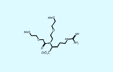 CCOC(=O)C(CCCNC(=N)N)N(CCOCCOC)C(=O)COCCOC